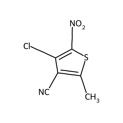 Cc1sc([N+](=O)[O-])c(Cl)c1C#N